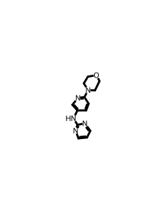 c1cnc(Nc2ccc(N3CCOCC3)nc2)nc1